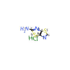 Cl.Nc1nc2scnc2s1